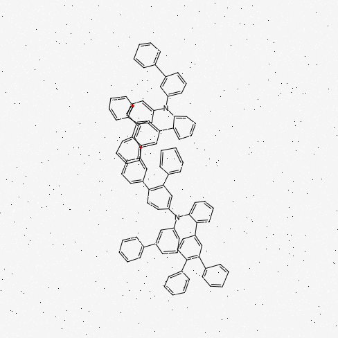 c1ccc(-c2cc(-c3cccc(-c4ccc(N(c5cccc(-c6ccccc6)c5)c5ccccc5-c5ccc(-c6ccccc6)c(-c6ccccc6)c5)cc4-c4ccccc4)c3)cc(-c3ccccc3N(c3cccc(-c4ccccc4)c3)c3cccc(-c4ccccc4)c3)c2)cc1